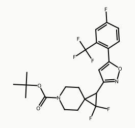 CC(C)(C)OC(=O)N1CCC2(CC1)C(c1cc(-c3ccc(F)cc3C(F)(F)F)on1)C2(F)F